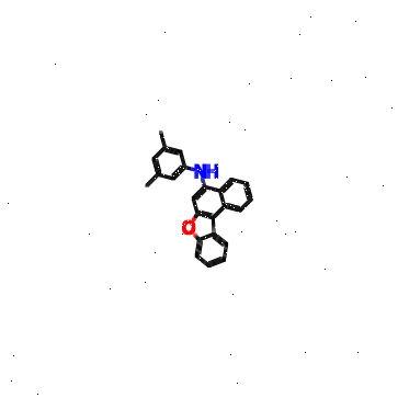 Cc1cc(C)cc(Nc2cc3oc4ccccc4c3c3ccccc23)c1